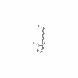 CCCCCCCOC(CC)C(C)C